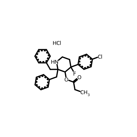 CCC(=O)OC1C(Cc2ccccc2)(Cc2ccccc2)NCCC1(F)c1ccc(Cl)cc1.Cl